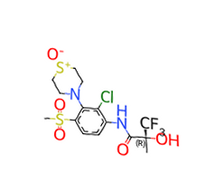 C[C@@](O)(C(=O)Nc1ccc(S(C)(=O)=O)c(N2CC[S+]([O-])CC2)c1Cl)C(F)(F)F